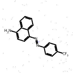 Nc1ccc(/N=N/c2ccc(C(F)(F)F)cc2)c2ccccc12